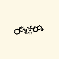 CCN/C(=N\S(=O)(=O)c1ccc2c(c1)CCN2)N1CC2(C=N1)CCCCC2